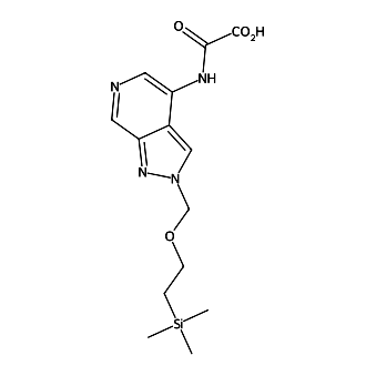 C[Si](C)(C)CCOCn1cc2c(NC(=O)C(=O)O)cncc2n1